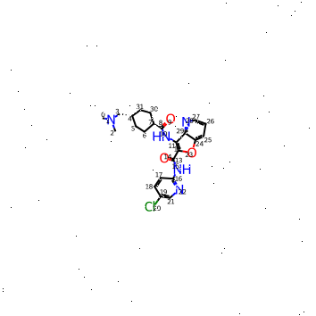 CN(C)C[C@H]1CC[C@H](C(=O)Nc2c(C(=O)Nc3ccc(Cl)cn3)oc3cccnc23)CC1